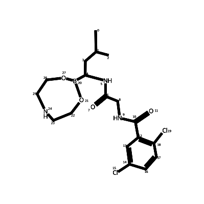 CC(C)CC(NC(=O)CNC(=O)c1cc(Cl)ccc1Cl)B1OCCNCCO1